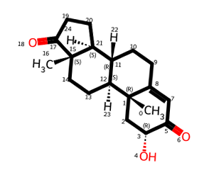 C[C@]12C[C@@H](O)C(=O)C=C1CC[C@@H]1[C@@H]2CC[C@]2(C)C(=O)CC[C@@H]12